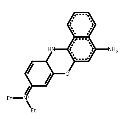 CC[N+](CC)=C1C=CC2Nc3c(cc(N)c4ccccc34)OC2=C1